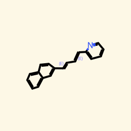 C(/C=C/c1ccccn1)=C\c1ccc2ccccc2c1